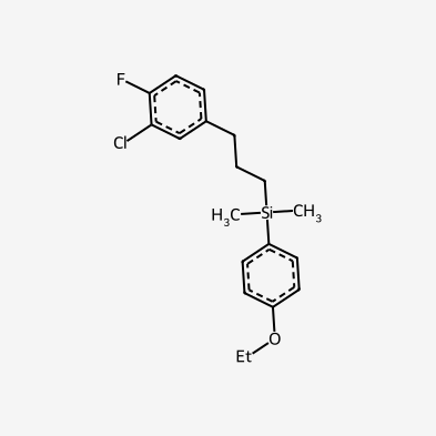 CCOc1ccc([Si](C)(C)CCCc2ccc(F)c(Cl)c2)cc1